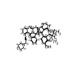 CC1(C)Cc2c(-c3nn(Cc4nc5cccc(C#CCN6CCOCC6)c5c(=O)n4C4(c5ccccc5)CC4)c4ncnc(N)c34)ccc(O)c2O1